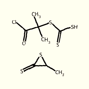 CC(C)(SC(=S)S)C(=O)Cl.CC1SC1=S